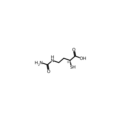 NC(=O)NCC[C@H](S)C(=O)O